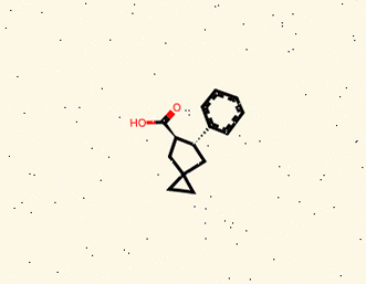 O=C(O)[C@@H]1CC2(CC2)C[C@H]1c1ccccc1